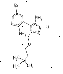 C[Si](C)(C)CCOCn1nc(Cl)c(N)c1-c1cc(Br)ccc1N